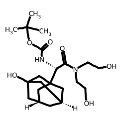 CC(C)(C)OC(=O)N[C@H](C(=O)N(CCO)CCO)C12C[C@@H]3C[C@@H](CC(O)(C3)C1)C2